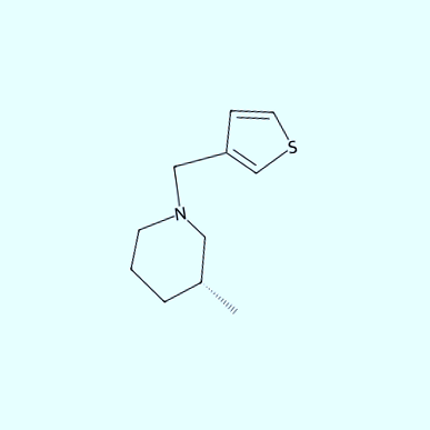 C[C@@H]1CCCN(Cc2ccsc2)C1